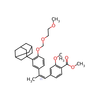 COCCOCOc1ccc(/C(C)=C\c2ccc(C(=O)OC)c(OC)c2)cc1C12CC3CC(CC(C3)C1)C2